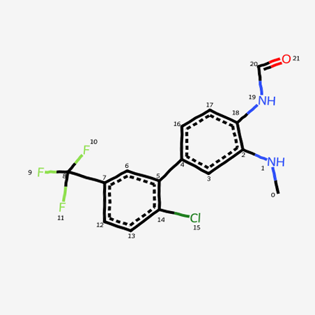 CNc1cc(-c2cc(C(F)(F)F)ccc2Cl)ccc1NC=O